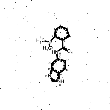 CN(C)c1ccccc1C(=O)Nc1ccc2[nH][c]nc2c1